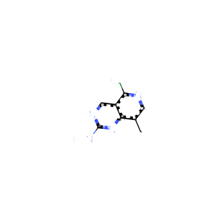 Cc1cnc(Cl)c2cnc(N)nc12